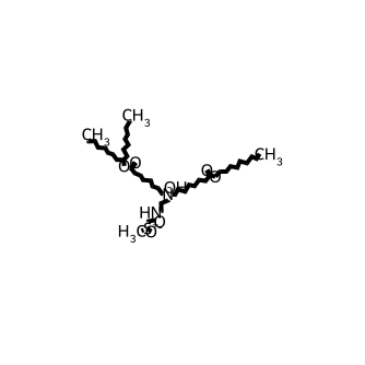 CCCCCCCCCOC(=O)CCCCCCC[N+](O)(CCCCCCCC(=O)OC(CCCCCCCC)CCCCCCCC)CCCNC(=O)C[S+](C)[O-]